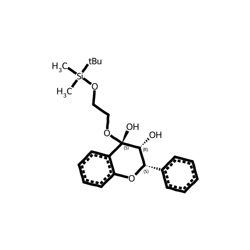 CC(C)(C)[Si](C)(C)OCCO[C@@]1(O)c2ccccc2O[C@@H](c2ccccc2)[C@H]1O